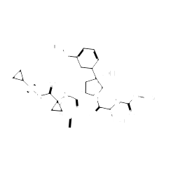 C=C[C@@H]1C[C@]1(NC(=O)[C@@H]1C[C@@](O)(C2C=CC=C(OC(C)C)C2)CN1C(=O)[C@@H](NC(=O)OC(C)(C)C)C(C)(C)C)C(=O)NS(=O)(=O)C1CC1